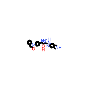 Cn1nc(-c2ccc(N3C(=O)Cc4ccccc43)cc2)c(O)c1-c1nc2cc3c(cc2[nH]1)CNC3